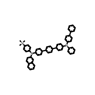 C[Si](C)(C)c1ccc(N(c2ccc(-c3ccc(-c4ccc(N(c5ccccc5)c5ccc(-c6ccccc6)cc5)cc4)cc3)cc2)c2ccc3ccccc3c2)cc1